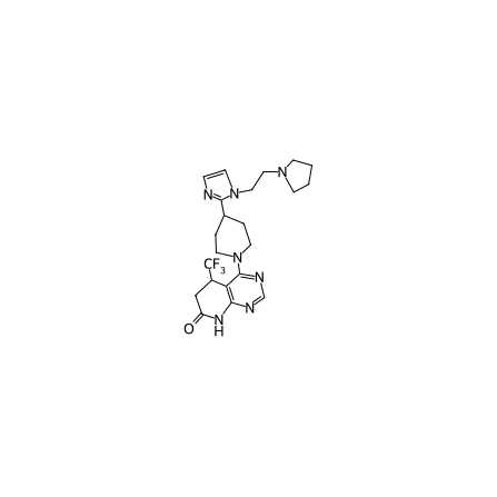 O=C1CC(C(F)(F)F)c2c(ncnc2N2CCC(c3nccn3CCN3CCCC3)CC2)N1